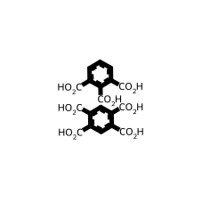 O=C(O)c1cc(C(=O)O)c(C(=O)O)cc1C(=O)O.O=C(O)c1cccc(C(=O)O)c1C(=O)O